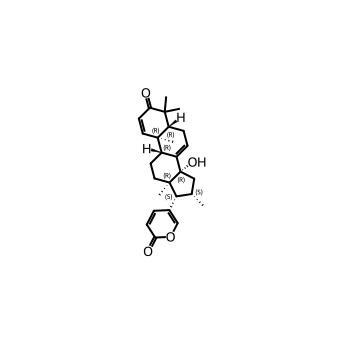 C[C@H]1C[C@]2(O)C3=CC[C@H]4C(C)(C)C(=O)C=C[C@]4(C)[C@H]3CC[C@]2(C)[C@H]1c1ccc(=O)oc1